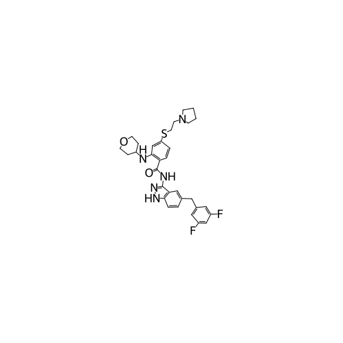 O=C(Nc1n[nH]c2ccc(Cc3cc(F)cc(F)c3)cc12)c1ccc(SCCN2CCCC2)cc1NC1CCOCC1